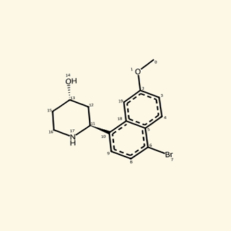 COc1ccc2c(Br)ccc([C@@H]3C[C@@H](O)CCN3)c2c1